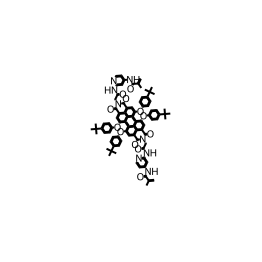 C=C(C)C(=O)Nc1ccnc(NC(=O)CN2C(=O)c3cc(Oc4ccc(C(C)(C)C)cc4)c4c5c(Oc6ccc(C(C)(C)C)cc6)cc6c7c(cc(Oc8ccc(C(C)(C)C)cc8)c(c8c(Oc9ccc(C(C)(C)C)cc9)cc(c3c48)C2=O)c75)C(=O)N(CC(=O)Nc2cc(NC(=O)C(=C)C)ccn2)C6=O)c1